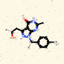 Cc1nc2c(c(C[C@@H](C)O)nn2[C@@H](C)c2ccc(C(F)(F)F)cc2)c(=O)[nH]1